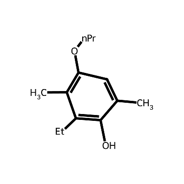 CCCOc1cc(C)c(O)c(CC)c1C